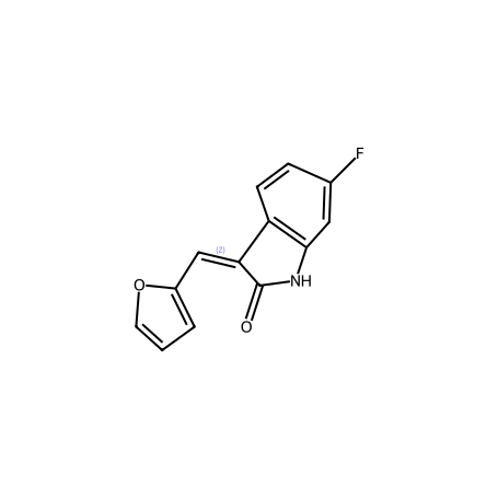 O=C1Nc2cc(F)ccc2/C1=C/c1ccco1